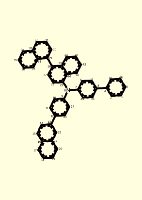 c1ccc(-c2ccc(N(c3ccc(-c4ccc5ccccc5c4)cc3)c3ccc(-c4cccc5ccccc45)c4ccccc34)cc2)cc1